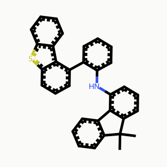 CC1(C)c2ccccc2-c2c(Nc3ccccc3-c3cccc4sc5ccccc5c34)cccc21